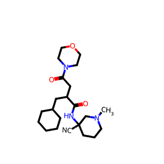 CN1CCCC(C#N)(NC(=O)C(CC(=O)N2CCOCC2)CC2CCCCC2)C1